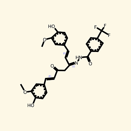 COc1cc(/C=C/C(=O)CC(/C=C/c2ccc(O)c(OC)c2)=N/NC(=O)c2ccc(C(F)(F)F)cc2)ccc1O